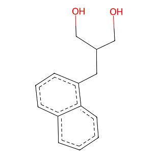 OCC(CO)Cc1cccc2ccccc12